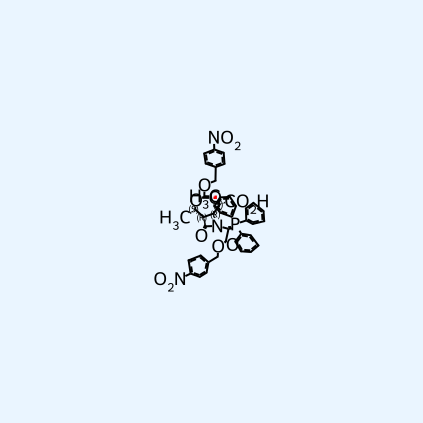 C[C@H](OC(=O)OCc1ccc([N+](=O)[O-])cc1)[C@@H]1C(=O)N(C(C(=O)OCc2ccc([N+](=O)[O-])cc2)=P(c2ccccc2)(c2ccccc2)c2ccccc2)[C@H]1[C@H](C)C(=O)O